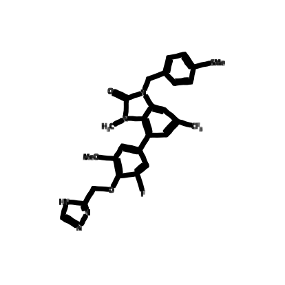 COc1cc(-c2cc(C(F)(F)F)cc3c2n(C)c(=O)n3Cc2ccc(SC)cc2)cc(F)c1OCc1nnc[nH]1